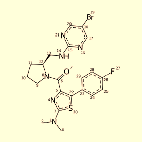 CN(C)c1nc(C(=O)N2CCC[C@H]2CNc2ncc(Br)cn2)c(-c2ccc(F)cc2)s1